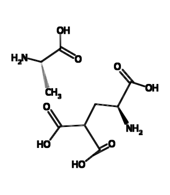 C[C@H](N)C(=O)O.N[C@@H](CC(C(=O)O)C(=O)O)C(=O)O